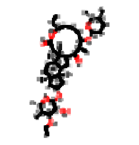 CCO[C@@H]1[C@@H](C)[C@H](C)O[C@@H](O[C@@H]2C[C@H]3CC[C@@H]4[C@@H](C=C5C(=O)C(C)C(O[C@H]6CC[C@H](C)[C@@H](C)O6)CCC[C@H](CC)OC(=O)C[C@H]54)[C@@H]3C2)[C@@H]1O